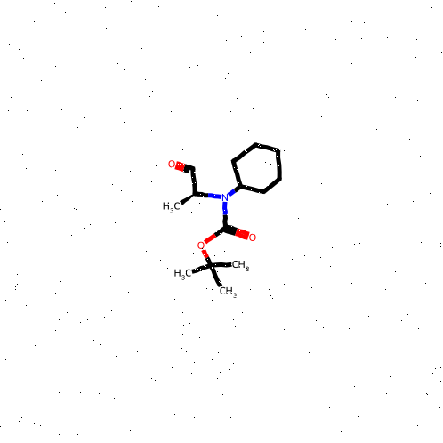 C[C@@H](C=O)N(C(=O)OC(C)(C)C)C1CCCCC1